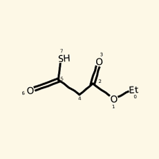 CCOC(=O)CC(=O)S